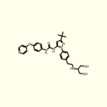 CC(C)(C)c1cc(NC(=O)Nc2ccc(Oc3ccncc3)cc2)n(-c2ccc(CCNC(CO)CO)cc2)n1